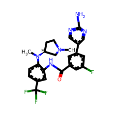 CN1CC[C@H](N(C)c2ccc(C(F)(F)F)cc2NC(=O)c2cc(F)cc(-c3cnc(N)nc3)c2)C1